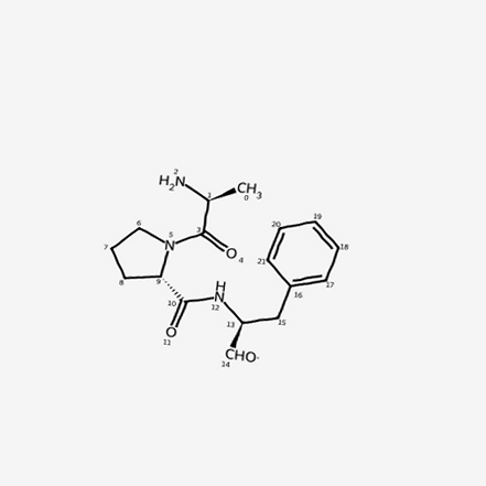 C[C@H](N)C(=O)N1CCC[C@H]1C(=O)N[C@H]([C]=O)Cc1ccccc1